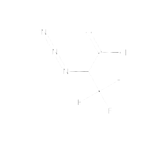 [N-]=[N+]=NC(C(=O)Cl)C(F)(F)F